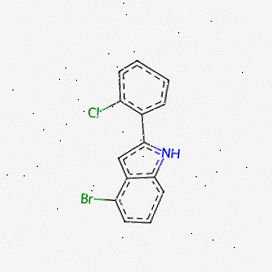 Clc1ccccc1-c1cc2c(Br)cccc2[nH]1